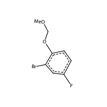 COCOc1ccc(F)[c]c1Br